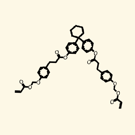 C=CC(=O)OCOc1ccc(CCC(=O)Oc2ccc(C3(c4ccc(OC(=O)CCc5ccc(OCOC(=O)C=C)cc5)cc4)CCCCC3)cc2)cc1